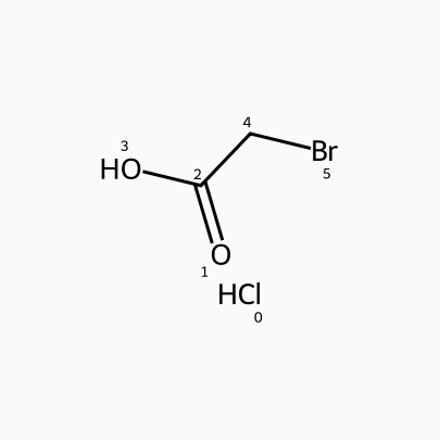 Cl.O=C(O)CBr